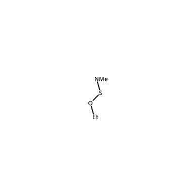 CCOSNC